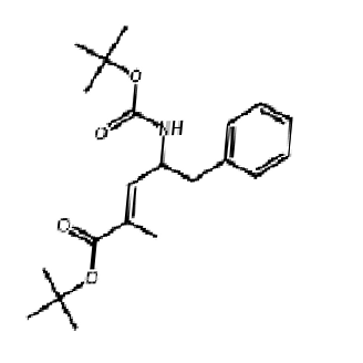 CC(=CC(Cc1ccccc1)NC(=O)OC(C)(C)C)C(=O)OC(C)(C)C